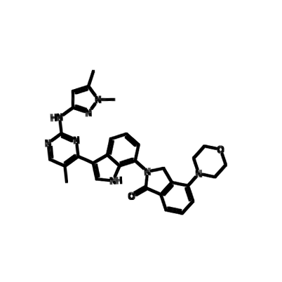 Cc1cnc(Nc2cc(C)n(C)n2)nc1-c1c[nH]c2c(N3Cc4c(cccc4N4CCOCC4)C3=O)cccc12